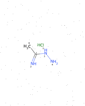 CC(=N)NN.Cl